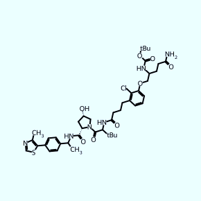 Cc1ncsc1-c1ccc(C(C)NC(=O)[C@@H]2C[C@H](O)CN2C(=O)C(NC(=O)CCCc2cccc(OCC(CCC(N)=O)NC(=O)OC(C)(C)C)c2Cl)C(C)(C)C)cc1